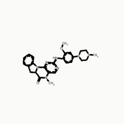 COc1cc(N2CCN(C)CC2)ccc1Nc1ncc2c(n1)N1c3ccccc3CC1C(=O)N2C